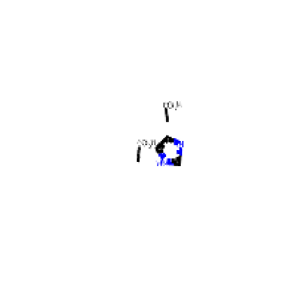 CC(=O)O.CC(=O)O.c1c[nH]cn1